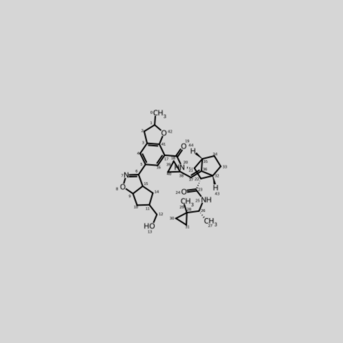 CC1Cc2cc(C3=NOC4CC(CO)CC34)cc(C(=O)N[C@H]3[C@@H](C(=O)N[C@H](C)C4(C)CC4)[C@H]4CC[C@@H]3/C4=C\C3CC3)c2O1